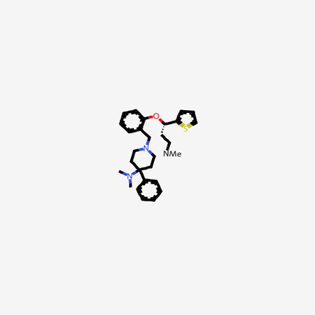 CNCC[C@H](Oc1ccccc1CN1CCC(c2ccccc2)(N(C)C)CC1)c1cccs1